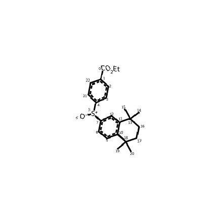 CCOC(=O)c1ccc([S+]([O-])c2ccc3c(c2)C(C)(C)CCC3(C)C)cc1